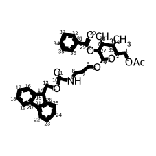 CC(=O)OCC1O[C@H](OCCCNC(=O)OCC2c3ccccc3-c3ccccc32)C(OC(=O)c2ccccc2)[C@@H](C)[C@@H]1C